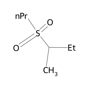 CCCS(=O)(=O)C(C)CC